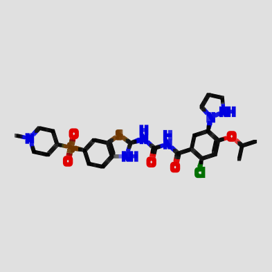 CC(C)OC1=C[C@@H](Cl)C(C(=O)NC(=O)N[C@H]2NC3=C(C[C@H](S(=O)(=O)C4CCN(C)CC4)CC3)S2)C[C@H]1N1CCCN1